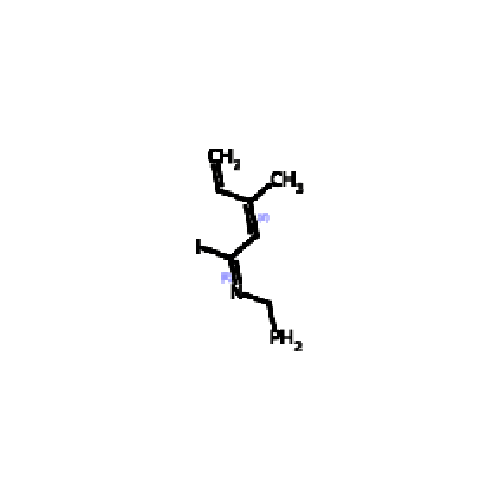 C=C/C(C)=C\C(I)=N/CP